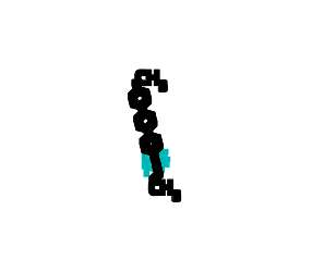 CCCC(F)(F)C(F)(F)c1ccc(C2CCC(C3CCC(CC)CC3)CC2)cc1